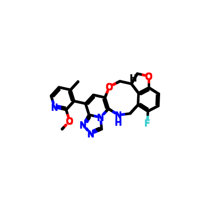 COc1nccc(C)c1-c1cc2c(n3cnnc13)NCc1c(F)ccc3c1[C@@H](CO3)CO2